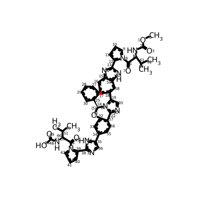 COC(=O)N[C@H](C(=O)n1cccc1-c1nc2ccc(-c3cnc4n3[C@H](c3ccccc3)Oc3cc(-c5cnc(-c6cccn6C(=O)[C@@H](NC(=O)O)C(C)C)[nH]5)ccc3-4)cc2[nH]1)C(C)C